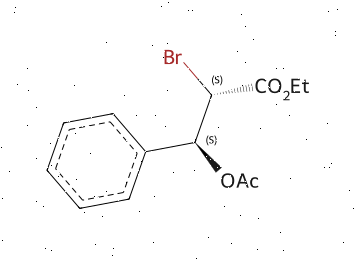 CCOC(=O)[C@@H](Br)[C@@H](OC(C)=O)c1ccccc1